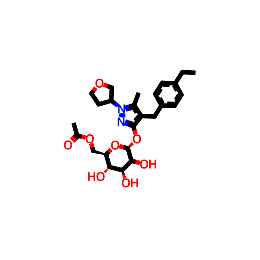 CCc1ccc(Cc2c(O[C@@H]3O[C@H](COC(C)=O)[C@@H](O)[C@H](O)C3O)nn(C3CCOC3)c2C)cc1